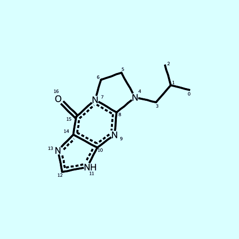 CC(C)CN1CCn2c1nc1[nH]cnc1c2=O